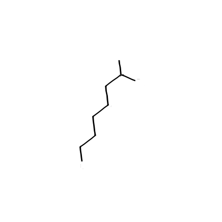 F[C](F)CCCCCCl